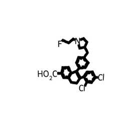 O=C(O)c1ccc2c(c1)CCC(c1ccc(Cl)cc1Cl)=C2c1ccc(CC2CCN(CCCF)C2)cc1